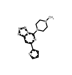 CN1CCN(c2nc(-c3cccs3)cc3nnnn23)CC1